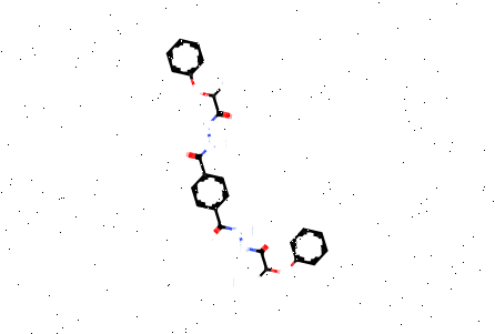 CC(Oc1ccccc1)C(=O)NNC(=O)c1ccc(C(=O)NNC(=O)C(C)Oc2ccccc2)cc1